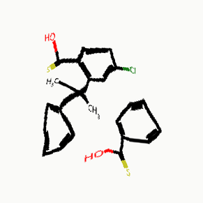 CC(C)(c1ccccc1)c1cc(Cl)ccc1C(O)=S.OC(=S)c1ccccc1